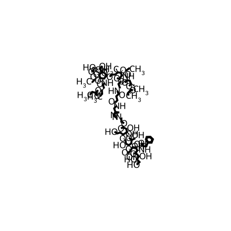 CCC(=O)O[C@H](CC)CC(=O)NC1[C@H](OCCNC(=O)CCC(=O)NCc2cn(CCO[C@@H]3OC(CO)[C@@H](O[C@@H]4OC(CO)[C@H](O)[C@H](O[C@]5(C(=O)O)C[C@@H](O)[C@@H](NC(=O)Cc6ccccc6)C([C@H](O)[C@H](O)CO)O5)C4O)[C@H](O)C3O)nn2)OC(CO[C@@H]2OC(CO)[C@@H](OP(=O)(O)O)[C@H](OC(=O)CC)C2NC(=O)C[C@@H](CC)OC(=O)CC)[C@@H](C)[C@@H]1OC(=O)CC